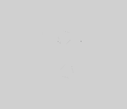 Cc1ccc(O)c(CCc2ccccc2)n1